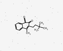 CC1=C(CCC(C)(C)C)C(=O)C(=O)c2ccccc21